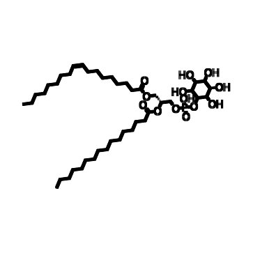 CCCCCCCC/C=C\CCCCCCCC(=O)OC[C@H](COP(=O)(O)OC1C(O)C(O)C(O)[C@@H](O)C1O)OC(=O)CCCCCCCCCCCCCCC